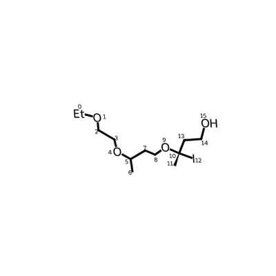 CCOCCOC(C)CCO[C@@](C)(I)CCO